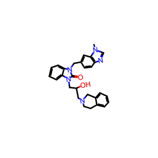 Cn1cnc2ccc(Cn3c(=O)n(CC(O)CN4CCc5ccccc5C4)c4ccccc43)cc21